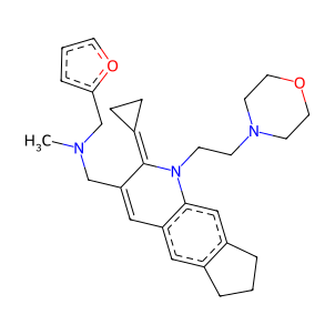 CN(CC1=Cc2cc3c(cc2N(CCN2CCOCC2)C1=C1CC1)CCC3)Cc1ccco1